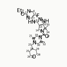 CCOc1ncc(F)c(Nc2n[nH]c3c2CN(C(=O)N2C[C@@H](C)N(CC4CCOCC4)C[C@@H]2C)C3(C)C)n1